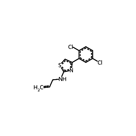 C=CCNc1nc(-c2cc(Cl)ccc2Cl)cs1